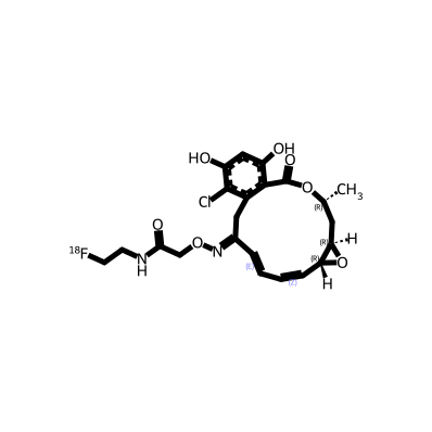 C[C@@H]1C[C@H]2O[C@@H]2/C=C\C=C\C(=NOCC(=O)NCC[18F])Cc2c(Cl)c(O)cc(O)c2C(=O)O1